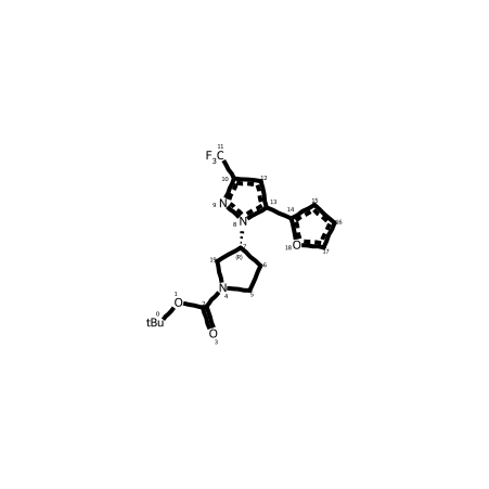 CC(C)(C)OC(=O)N1CC[C@@H](n2nc(C(F)(F)F)cc2-c2ccco2)C1